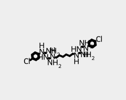 NC(NCCCCCCNC(N)NC(N)Nc1ccc(Cl)cc1)NC(N)Nc1ccc(Cl)cc1